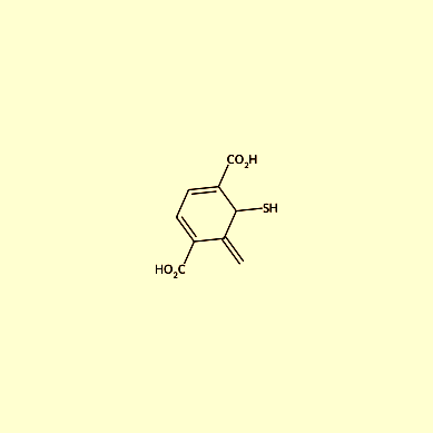 C=C1C(C(=O)O)=CC=C(C(=O)O)C1S